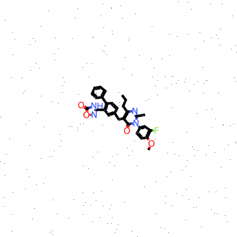 CCCc1nc(C)n(-c2ccc(OC)c(F)c2)c(=O)c1Cc1ccc(-c2ccccc2)c(-c2noc(=O)[nH]2)c1